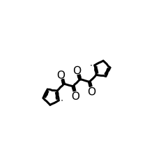 O=C(C(=O)C(=O)C1=[C]CC=C1)C(=O)C1=[C]CC=C1